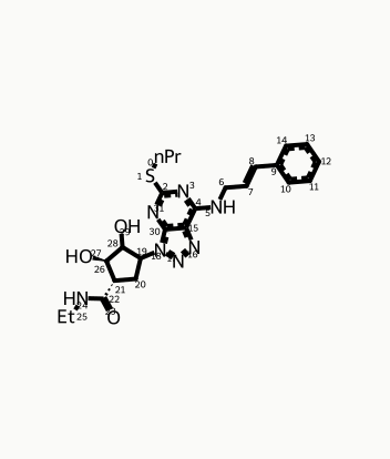 CCCSc1nc(NCC=Cc2ccccc2)c2nnn(C3C[C@H](C(=O)NCC)[C@@H](O)C3O)c2n1